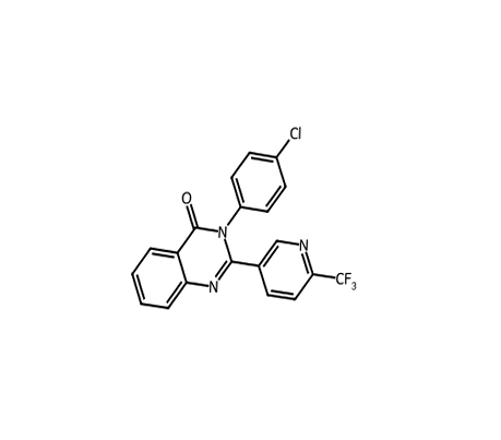 O=c1c2ccccc2nc(-c2ccc(C(F)(F)F)nc2)n1-c1ccc(Cl)cc1